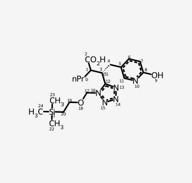 CCCC(C(=O)O)[C@H](Cc1ccc(O)nc1)c1nnnn1COCC[Si](C)(C)C